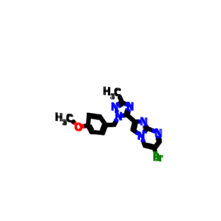 COc1ccc(Cn2nc(C)nc2-c2cn3cc(Br)cnc3n2)cc1